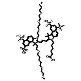 COCCOCCOCCOCC[N+]1=C(/C=C/C=C2/N(CCCCCC(=O)O)c3ccc4c(S(=O)(=O)[O-])cc(S(=O)(=O)O)cc4c3C2(C)C)C(C)(CCOCCOCCOCCOC)c2c1ccc1c(S(=O)(=O)O)cc(S(=O)(=O)O)cc21